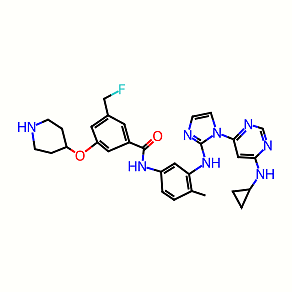 Cc1ccc(NC(=O)c2cc(CF)cc(OC3CCNCC3)c2)cc1Nc1nccn1-c1cc(NC2CC2)ncn1